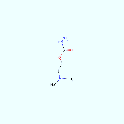 CN(C)CCOC(=O)NN